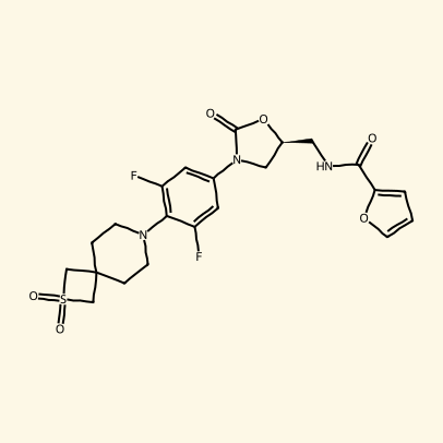 O=C(NC[C@H]1CN(c2cc(F)c(N3CCC4(CC3)CS(=O)(=O)C4)c(F)c2)C(=O)O1)c1ccco1